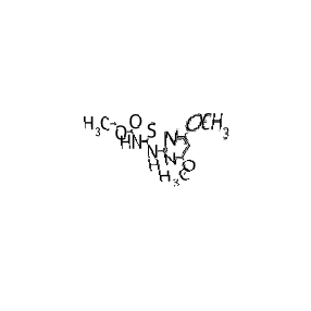 CCOC(=O)NC(=S)Nc1nc(OC)cc(OC)n1